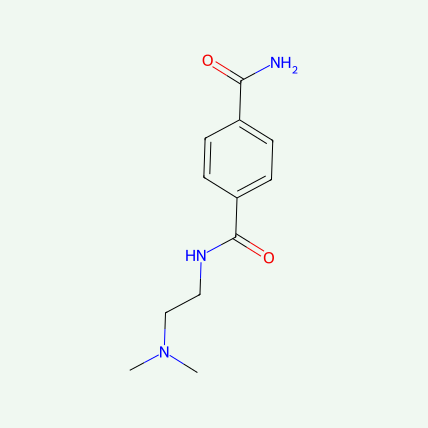 CN(C)CCNC(=O)c1ccc(C(N)=O)cc1